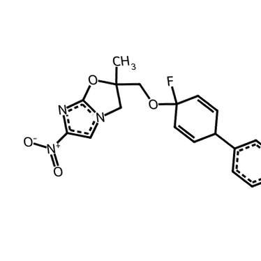 CC1(COC2(F)C=CC(c3ccccc3)C=C2)Cn2cc([N+](=O)[O-])nc2O1